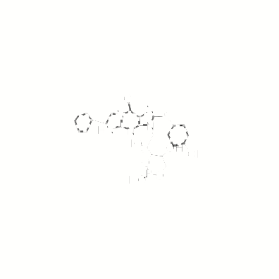 O=c1c2nc(Sc3ccc(O)cc3)n(C[C@@H](O)C3OP(O)OCC3O)c2nc2[nH]c(-c3ccccc3)cn12